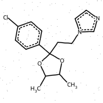 CC1OC(CCn2ccnc2)(c2ccc(Cl)cc2)OC1C